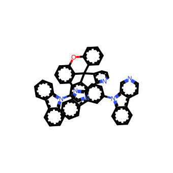 c1ccc2c(c1)Oc1cccc(-n3c4ccccc4c4cc(-n5c6ccccc6c6ccncc65)ccc43)c1C21c2cccnc2-c2ncc(-n3c4ccccc4c4ccccc43)cc21